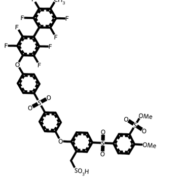 COc1ccc(S(=O)(=O)c2ccc(Oc3ccc(S(=O)(=O)c4ccc(Oc5c(F)c(F)c(-c6c(F)c(F)c(C)c(F)c6F)c(F)c5F)cc4)cc3)c(CS(=O)(=O)O)c2)cc1S(=O)(=O)OC